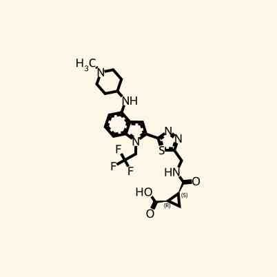 CN1CCC(Nc2cccc3c2cc(-c2nnc(CNC(=O)[C@H]4C[C@H]4C(=O)O)s2)n3CC(F)(F)F)CC1